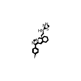 Fc1ccc(-c2ncn3c2C=C2CCCC[C@@]2(CCNc2nncs2)C3)cc1